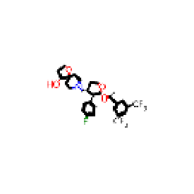 C[C@@H](O[C@H]1OCC[C@@H](CN2CCC3(CC2)OCC[C@H]3O)[C@@H]1c1ccc(F)cc1)c1cc(C(F)(F)F)cc(C(F)(F)F)c1